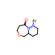 CC(=O)N1CCCC2COCCC(=O)N21